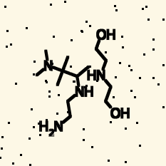 CC(NCCN)C(C)(C)N(C)C.OCCNCCO